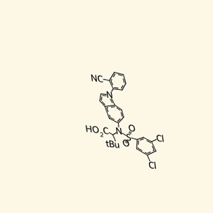 CC(C)(C)C(C(=O)O)N(c1ccc2c(ccn2-c2ccccc2C#N)c1)S(=O)(=O)c1cc(Cl)cc(Cl)c1